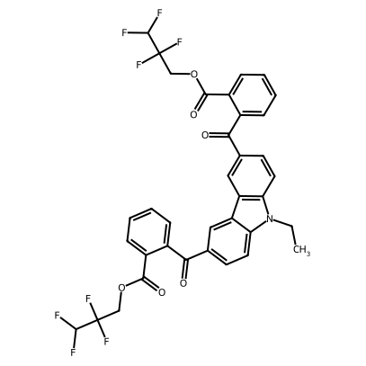 CCn1c2ccc(C(=O)c3ccccc3C(=O)OCC(F)(F)C(F)F)cc2c2cc(C(=O)c3ccccc3C(=O)OCC(F)(F)C(F)F)ccc21